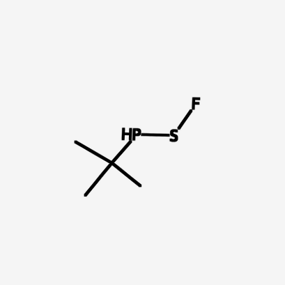 CC(C)(C)PSF